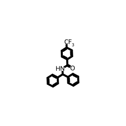 O=C(NC(c1ccccc1)c1ccccc1)c1ccc(C(F)(F)F)cc1